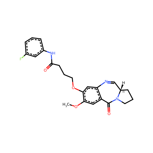 COc1cc2c(cc1OCCCC(=O)Nc1cccc(F)c1)N=C[C@@H]1CCCN1C2=O